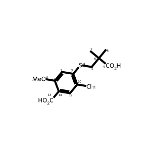 COc1cc(SCC(C)(C)C(=O)O)c(Cl)cc1C(=O)O